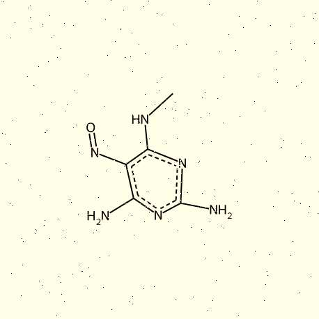 CNc1nc(N)nc(N)c1N=O